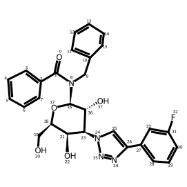 O=C(c1ccccc1)N(Cc1ccccc1)[C@@H]1O[C@H](CO)[C@H](O)[C@H](n2cc(-c3cccc(F)c3)nn2)[C@H]1O